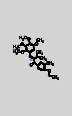 CCOc1ccc(C(=O)/C(=C/c2cc(OC)c(OC)c(OC)c2OC)C(C)C)cc1N